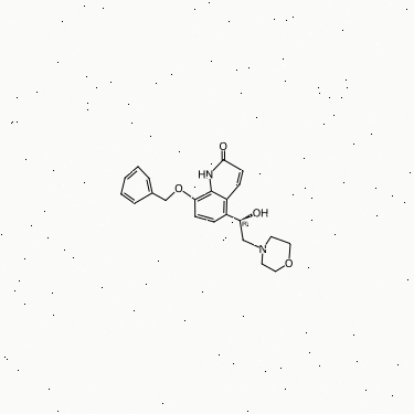 O=c1ccc2c([C@@H](O)CN3CCOCC3)ccc(OCc3ccccc3)c2[nH]1